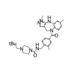 Cc1ccc2c(c1)Nc1c(cnn1C)CN2C(=O)c1ccc(CNC(=O)N2CCN(CC(C)(C)C)CC2)c(C)c1